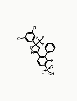 O=S(=O)(O)c1ccc(C2=NOC(c3cc(Cl)cc(Cl)c3)(C(F)(F)F)C2)c(-c2ccccc2)c1F